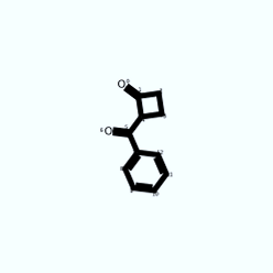 O=C1CCC1C(=O)c1ccccc1